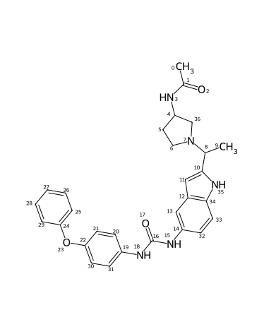 CC(=O)NC1CCN(C(C)c2cc3cc(NC(=O)Nc4ccc(Oc5ccccc5)cc4)ccc3[nH]2)C1